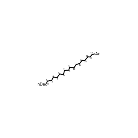 CCCCCCCCCCCCCCCCCCCCCCCCCCCC(C)=O